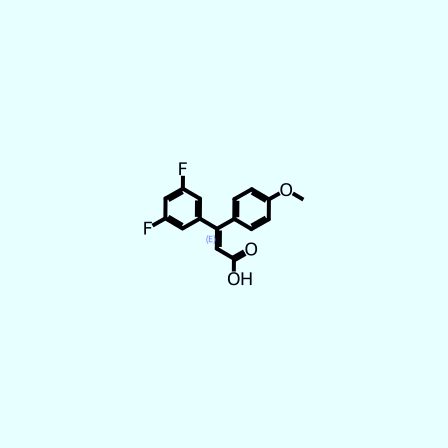 COc1ccc(/C(=C\C(=O)O)c2cc(F)cc(F)c2)cc1